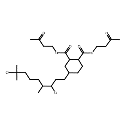 CC(=O)CCOC(=O)C1CCC(CCC(Cl)C(C)CCCC(C)(C)Cl)CC1C(=O)OCCC(C)=O